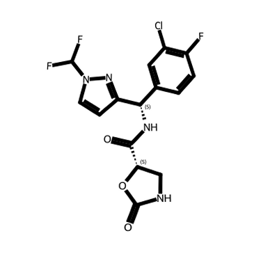 O=C1NC[C@@H](C(=O)N[C@@H](c2ccc(F)c(Cl)c2)c2ccn(C(F)F)n2)O1